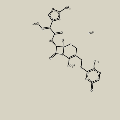 CON=C(C(=O)N[C@@H]1C(=O)N2C(C(=O)O)=C(CSc3nc(=O)cnn3C)CS[C@H]12)c1cnc(N)s1.[NaH]